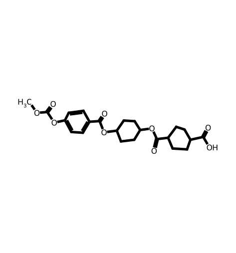 COC(=O)Oc1ccc(C(=O)OC2CCC(OC(=O)C3CCC(C(=O)O)CC3)CC2)cc1